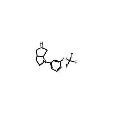 FC(F)(F)Oc1cccc(N2CCC3CNCC32)c1